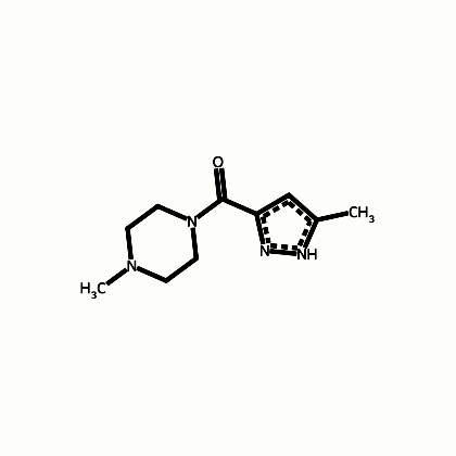 Cc1cc(C(=O)N2CCN(C)CC2)n[nH]1